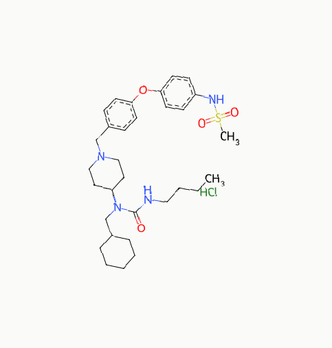 CCCCNC(=O)N(CC1CCCCC1)C1CCN(Cc2ccc(Oc3ccc(NS(C)(=O)=O)cc3)cc2)CC1.Cl